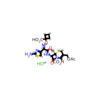 CC(=O)OCC1=C(C(=O)O)N2C(=O)[C@@H](NC(=O)/C(=N\OC3(C(=O)O)CCC3)c3csc(N)n3)[C@H]2SC1.Cl